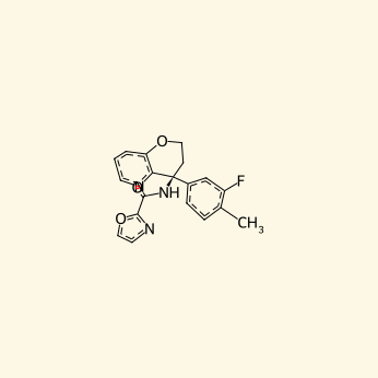 Cc1ccc([C@@]2(NC(=O)c3ncco3)CCOc3cccnc32)cc1F